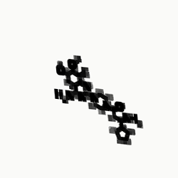 COc1cc2c(N)nc(N3CCN(C(=O)C[C@@H](N)C4CCCC4)CC3)nc2c(F)c1OC